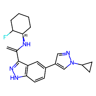 C=C(N[C@@H]1CCCCC1F)c1n[nH]c2ccc(-c3cnn(C4CC4)c3)cc12